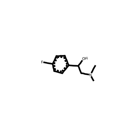 CN(C)CC(O)c1ccc(F)cc1